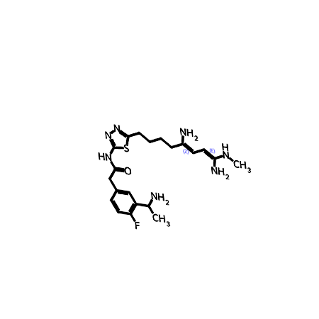 CN/C(N)=C/C=C(\N)CCCCc1nnc(NC(=O)Cc2ccc(F)c(C(C)N)c2)s1